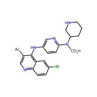 CC(=O)c1cnc2ccc(Br)cc2c1Nc1ccc(N(C(=O)O)C2CCCNC2)nc1